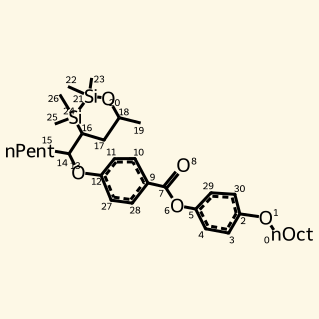 CCCCCCCCOc1ccc(OC(=O)c2ccc(OC(CCCCC)C3CC(C)O[Si](C)(C)[Si]3(C)C)cc2)cc1